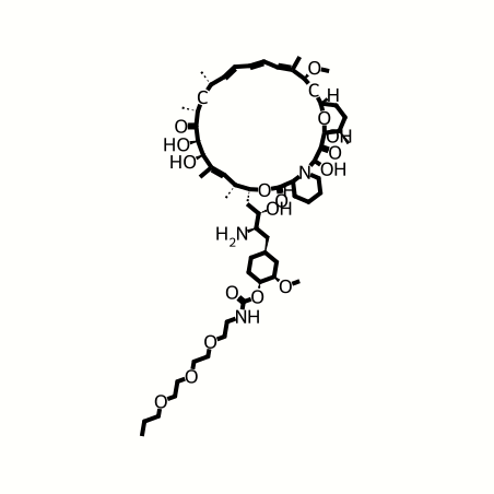 CCCOCCOCCOCCNC(=O)O[C@@H]1CC[C@@H](C[C@@H](N)[C@@H](O)C[C@H]2OC(=O)[C@@H]3CCCCN3C(O)C(=O)[C@]3(O)O[C@@H](CC[C@H]3C)C[C@H](OC)/C(C)=C/C=C/C=C/[C@@H](C)C[C@@H](C)C(=O)[C@H](O)[C@H](O)/C(C)=C/[C@H]2C)C[C@H]1OC